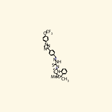 COC(C)c1ccccc1N1C(=O)CS/C1=N\C(=S)N/N=C/c1ccc(-c2ncn(-c3ccc(OC(F)(F)F)cc3)n2)cc1